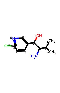 CC(C)C(N)C(O)c1ccc(Cl)nc1